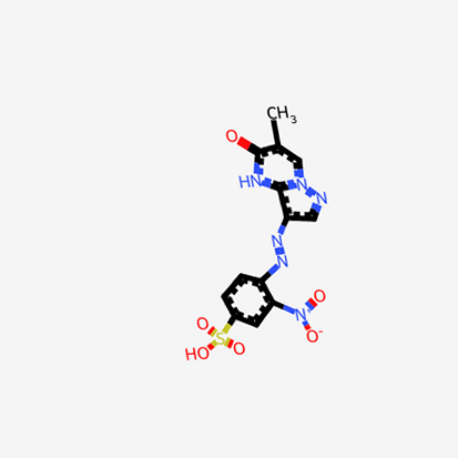 Cc1cn2ncc(/N=N/c3ccc(S(=O)(=O)O)cc3[N+](=O)[O-])c2[nH]c1=O